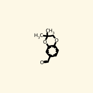 CC1(C)COc2ccc(C=O)cc2O1